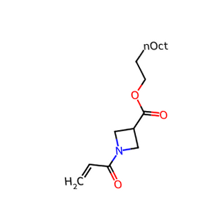 C=CC(=O)N1CC(C(=O)OCCCCCCCCCC)C1